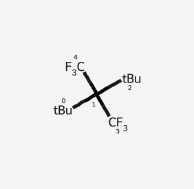 CC(C)(C)C(C(C)(C)C)(C(F)(F)F)C(F)(F)F